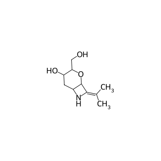 CC(C)=C1NC2CC(O)C(CO)OC12